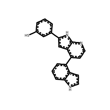 Sc1cccc(-c2cc3c(-c4cccc5[nH]ccc45)ccnc3[nH]2)c1